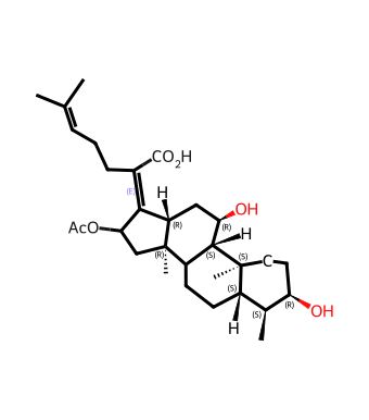 CC(=O)OC1C[C@]2(C)C3CC[C@H]4[C@H](C)[C@H](O)CC[C@]4(C)[C@H]3[C@H](O)C[C@H]2/C1=C(/CCC=C(C)C)C(=O)O